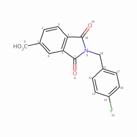 O=C(O)c1ccc2c(c1)C(=O)N(Cc1ccc(F)cc1)C2=O